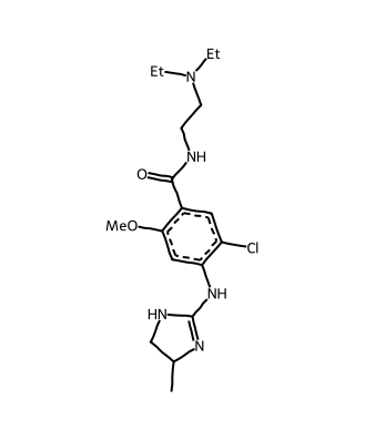 CCN(CC)CCNC(=O)c1cc(Cl)c(NC2=NC(C)CN2)cc1OC